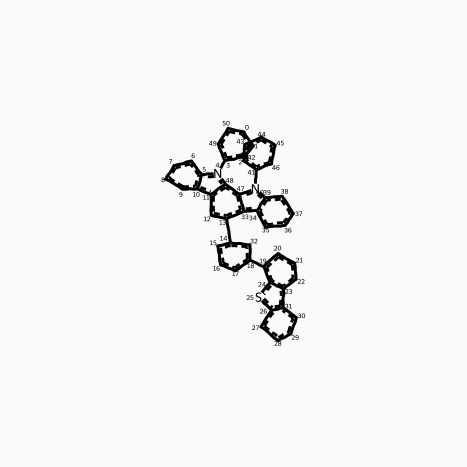 c1ccc(-n2c3ccccc3c3cc(-c4cccc(-c5cccc6c5sc5ccccc56)c4)c4c5ccccc5n(-c5ccccc5)c4c32)cc1